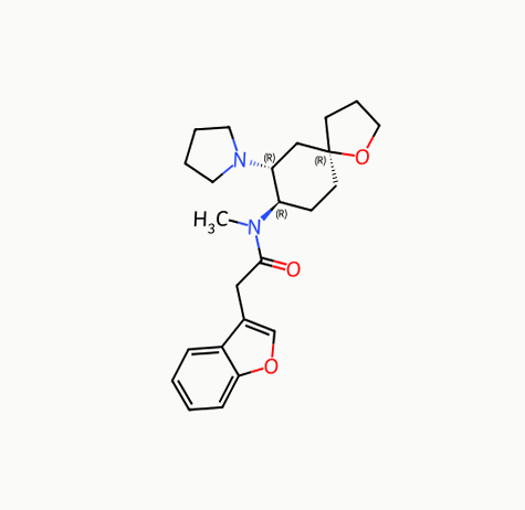 CN(C(=O)Cc1coc2ccccc12)[C@@H]1CC[C@@]2(CCCO2)C[C@H]1N1CCCC1